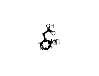 Cl.Cl.O=C(O)Cc1cccnc1